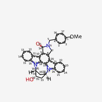 COc1ccc(CN2Cc3c(c4c5ccccc5n5c4c4c3c3ccccc3n4[C@@H]3C[C@@H]5[C@@H](O)C3)C2=O)cc1